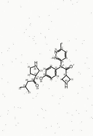 Cc1ccc(N(C(=O)C2CNC2)c2ccc(O[C@]3(C(=O)CC(C)C)CCNC3)cc2)nn1